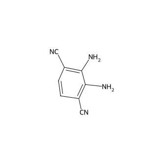 N#Cc1ccc(C#N)c(N)c1N